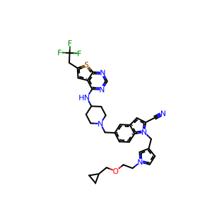 N#Cc1cc2cc(CN3CCC(Nc4ncnc5sc(CC(F)(F)F)cc45)CC3)ccc2n1Cc1ccn(CCOCC2CC2)c1